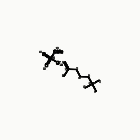 C=C(C)CCC[N+](C)(C)C.COS(=O)(=O)[O-]